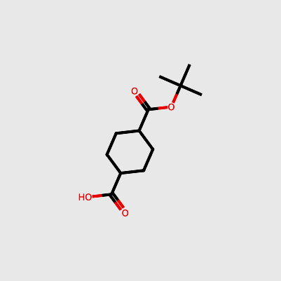 CC(C)(C)OC(=O)C1CCC(C(=O)O)CC1